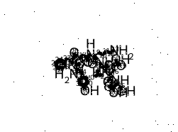 CC(C)C[C@H](NC(=O)[C@H](CCCCN)NC(=O)CNC(=O)[C@H](Cc1ccccc1)NC(=O)[C@@H](N)Cc1ccc(O)cc1)C(=O)N[C@@H](CCC(=O)O)C(=O)N[C@@H](CO)C(=O)O